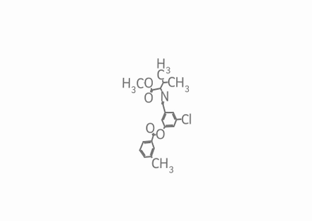 COC(=O)C(N=Cc1cc(Cl)cc(OC(=O)c2cccc(C)c2)c1)C(C)C